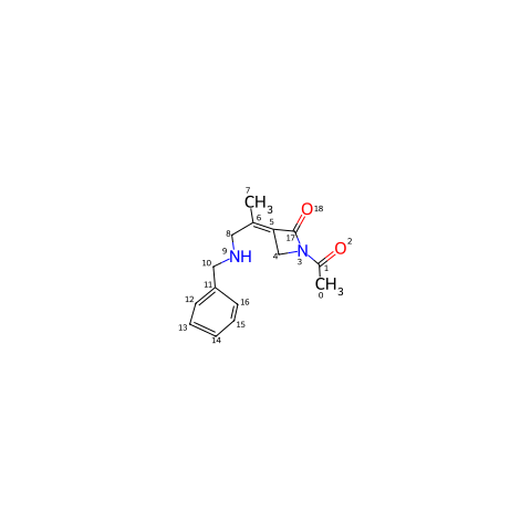 CC(=O)N1CC(=C(C)CNCc2ccccc2)C1=O